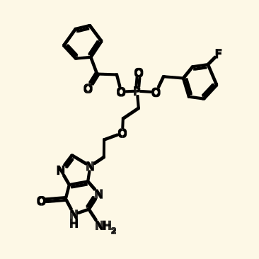 Nc1nc2c(ncn2CCOCCP(=O)(OCC(=O)c2ccccc2)OCc2cccc(F)c2)c(=O)[nH]1